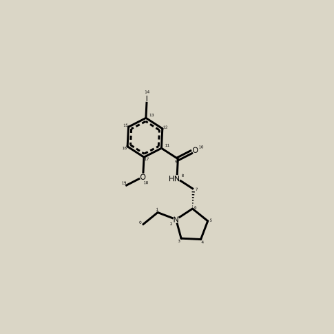 CCN1CCC[C@H]1CNC(=O)c1cc(I)ccc1OC